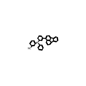 N#Cc1cccc(N(c2ccccc2)C2C=C(c3ccc4c5c(cccc35)-c3ccccc3-4)C=CC2)c1